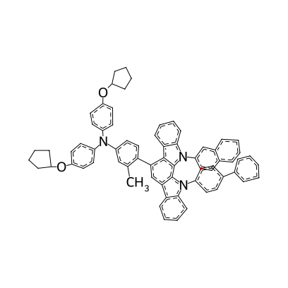 Cc1cc(N(c2ccc(OC3CCCC3)cc2)c2ccc(OC3CCCC3)cc2)ccc1-c1cc2c3ccccc3n(-c3ccc(-c4ccccc4)cc3)c2c2c1c1ccccc1n2-c1ccc2ccccc2c1